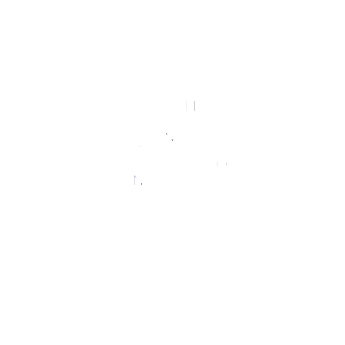 CN1C(=O)N2CCCCC2C1O